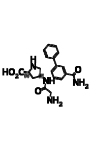 NC(=O)c1cccc(-c2ccccc2)c1.NCC(=O)N[C@H]1CN[C@H](C(=O)O)C1